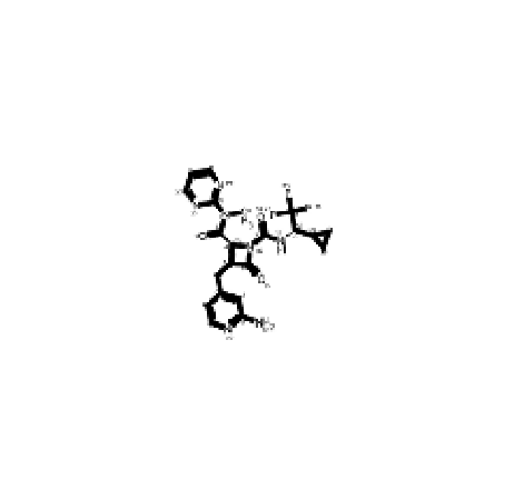 CN(C(=O)[C@@H]1C(Cc2ccnc(N)c2)C(=O)N1C(=O)N[C@@H](C1CC1)C(F)(F)F)c1ncccn1